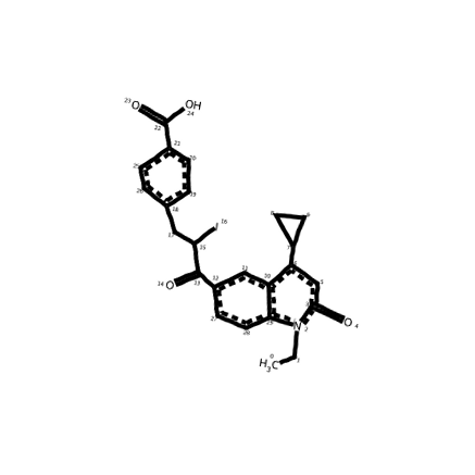 CCn1c(=O)cc(C2CC2)c2cc(C(=O)C(I)Cc3ccc(C(=O)O)cc3)ccc21